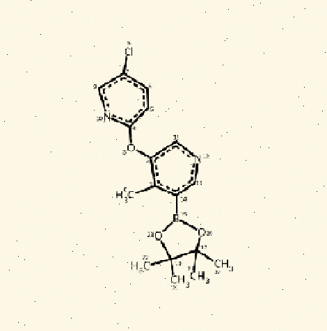 Cc1c(Oc2ccc(Cl)cn2)cncc1B1OC(C)(C)C(C)(C)O1